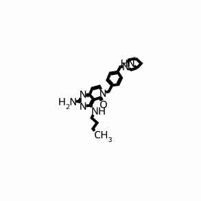 CCCCNc1nc(N)nc2ccn(Cc3ccc(CN4CC5CC(C4)N5)cc3)c(=O)c12